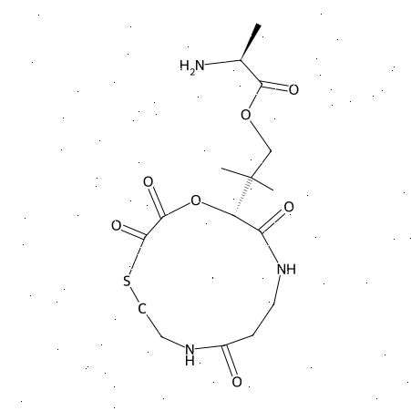 C[C@H](N)C(=O)OCC(C)(C)[C@H]1OC(=O)C(=O)SCCNC(=O)CCNC1=O